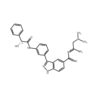 CN(C)C/C(N)=N/C(=N)c1ccc2[nH]nc(-c3cccc(NC(=O)[C@H](O)c4ccccc4)c3)c2c1